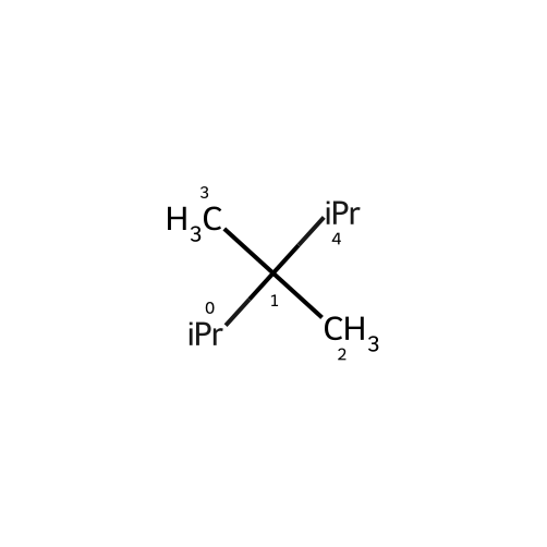 [CH2]C(C)C(C)(C)C(C)C